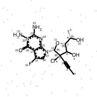 CC#C[C@@]1(Cl)C(O)[C@@H]([C@H](C)O)O[C@H]1n1cc(F)c2c(=O)n(N)c(N)nc21